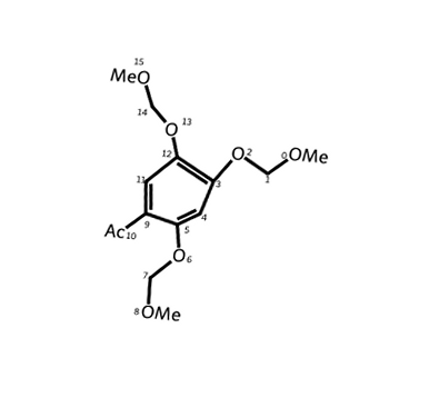 COCOc1cc(OCOC)c(C(C)=O)cc1OCOC